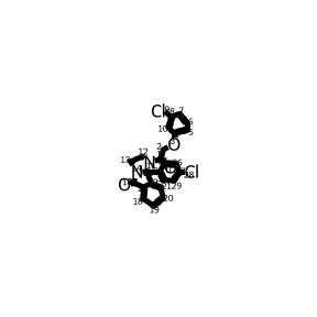 O=C(COc1cccc(Cl)c1)N1CCN2C(=O)c3ccccc3C12c1ccc(Cl)cc1